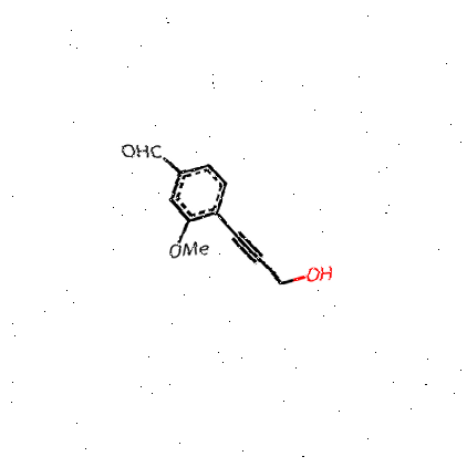 COc1cc(C=O)ccc1C#CCO